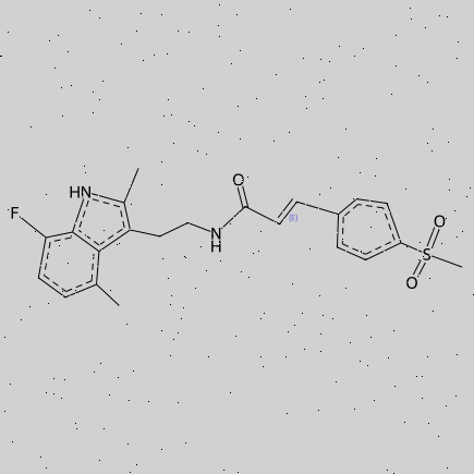 Cc1[nH]c2c(F)ccc(C)c2c1CCNC(=O)/C=C/c1ccc(S(C)(=O)=O)cc1